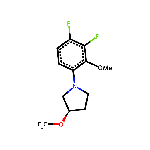 COc1c(N2CC[C@@H](OC(F)(F)F)C2)ccc(F)c1F